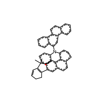 CC1(C)C2=C(CCC=C2)c2cc3ccc4cccc(N(c5ccccc5)c5cc6c7ccccc7ccc6c6ccccc56)c4c3cc21